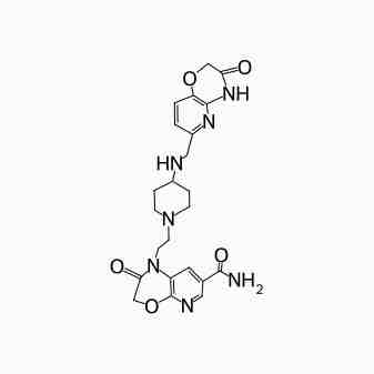 NC(=O)c1cnc2c(c1)N(CCN1CCC(NCc3ccc4c(n3)NC(=O)CO4)CC1)C(=O)CO2